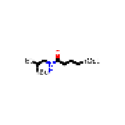 CCCCCCCCCCCC(=O)NCC(CC)CCCC